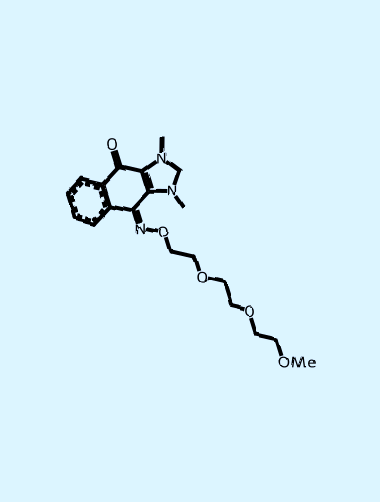 COCCOCCOCCO/N=C1\C2=C(C(=O)c3ccccc31)N(C)CN2C